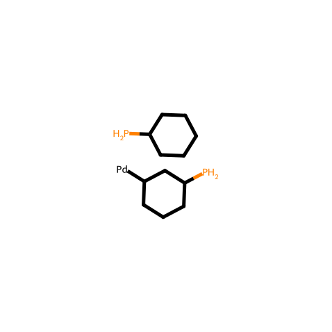 PC1CCCCC1.PC1CCC[CH]([Pd])C1